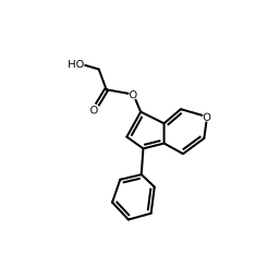 O=C(CO)Oc1cc(-c2ccccc2)c2ccocc1-2